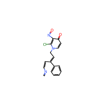 C=N/C=C\C(=C/Cn1ccc(=O)c(N=O)c1Cl)c1ccccc1